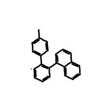 Cc1ccc(-c2[c]cccc2-c2cccc3ccccc23)cc1